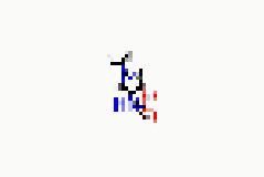 CC(C)N1CC2NC(=O)OC2C1